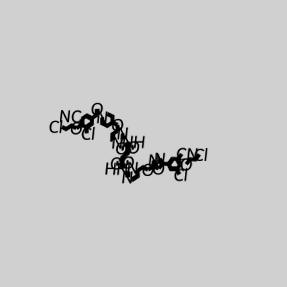 N#Cc1cc(C(=O)N2CCC(Oc3ccnc(NS(=O)(=O)CCS(=O)(=O)Nc4nccc(COc5nnc(-c6cc(Cl)c(OCCCl)c(C#N)c6)o5)n4)n3)CC2)cc(Cl)c1OCCCl